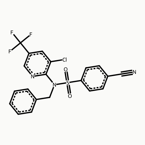 N#Cc1ccc(S(=O)(=O)N(Cc2ccccc2)c2ncc(C(F)(F)F)cc2Cl)cc1